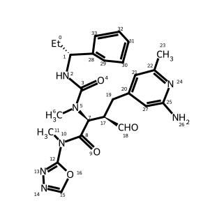 CC[C@@H](NC(=O)N(C)[C@H](C(=O)N(C)c1nnco1)[C@H](C=O)Cc1cc(C)nc(N)c1)c1ccccc1